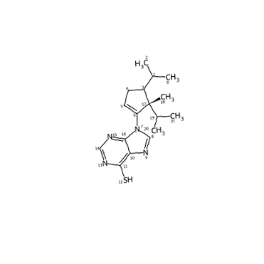 CC(C)C1CC=C(n2cnc3c(S)ncnc32)[C@@]1(C)C(C)C